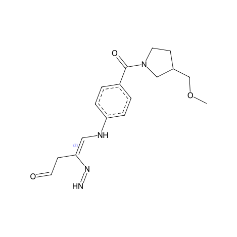 COCC1CCN(C(=O)c2ccc(N/C=C(/CC=O)N=N)cc2)C1